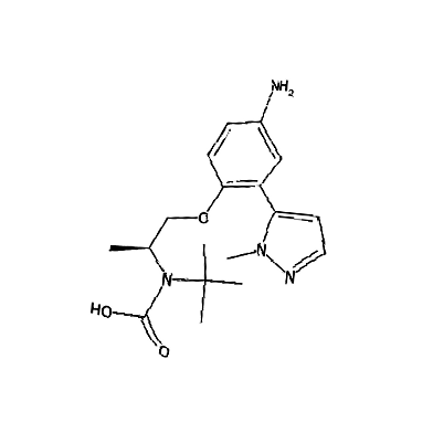 C[C@@H](COc1ccc(N)cc1-c1ccnn1C)N(C(=O)O)C(C)(C)C